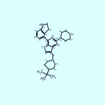 CC(C)(O)C1CCN(Cc2csc3c(-c4cccc5c4CCN5)nc(N4CCOCC4)nc23)CC1